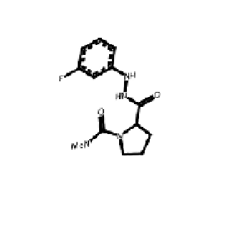 CNC(=O)N1CCCC1C(=O)NNc1cccc(F)c1